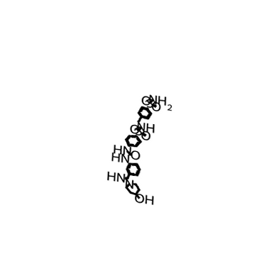 N=C(c1cccc(NC(=O)Nc2ccc(S(=O)(=O)NCc3ccc(S(N)(=O)=O)cc3)cc2)c1)N1CCC(O)CC1